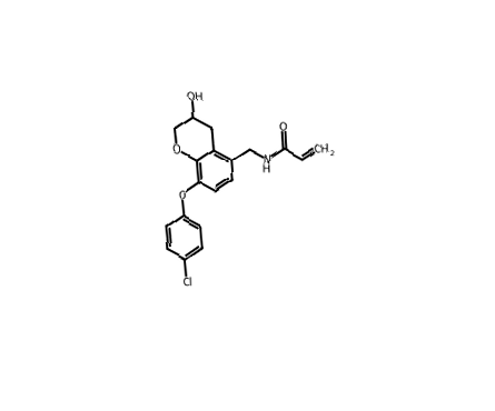 C=CC(=O)NCc1ccc(Oc2ccc(Cl)cc2)c2c1CC(O)CO2